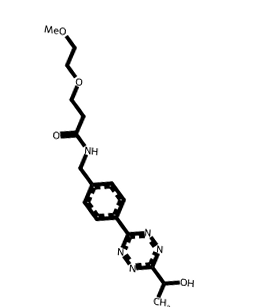 COCCOCCC(=O)NCc1ccc(-c2nnc(C(C)O)nn2)cc1